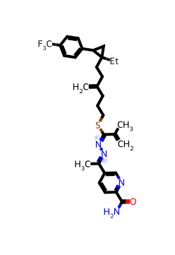 C=C(CCCS/C(=N/N=C(\C)c1ccc(C(N)=O)nc1)C(=C)C)CCC1(CC)CC1c1ccc(C(F)(F)F)cc1